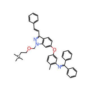 Cc1ccc(Oc2ccc3c(C=Cc4ccccc4)nn(COCC[Si](C)(C)C)c3c2)cc1N=C(c1ccccc1)c1ccccc1